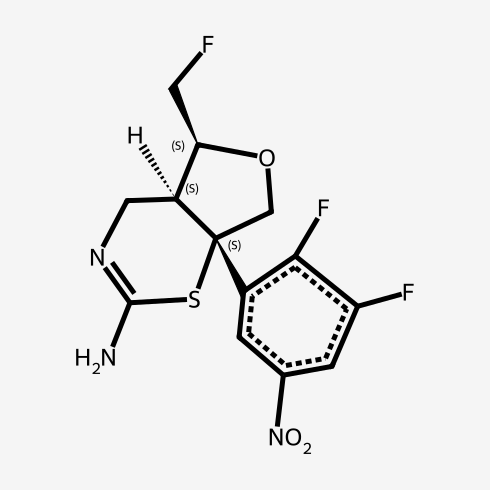 NC1=NC[C@H]2[C@@H](CF)OC[C@]2(c2cc([N+](=O)[O-])cc(F)c2F)S1